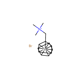 C[N+](C)(C)C[C]12[CH]3[CH]4[CH]5[CH]1[Fe]45321678[CH]2[CH]1[CH]6[CH]7[CH]28.[Br-]